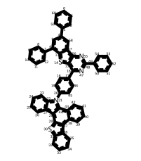 c1ccc(-c2cc(-c3ccccc3)c3sc4c(-c5ccc(-n6c7ccccc7c7c8sc9ccccc9c8c8ccccc8c76)cc5)nc(-c5ccccc5)nc4c3c2)cc1